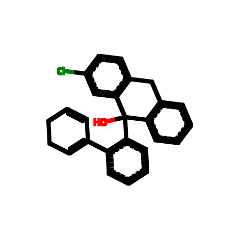 OC1(c2ccccc2C2=CCCC=C2)c2ccccc2Cc2ccc(Cl)cc21